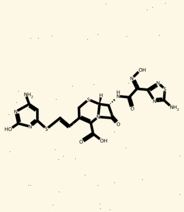 Nc1cc(S/C=C/C2=C(C(=O)O)N3C(=O)[C@@H](NC(=O)C(=NO)c4nsc(N)n4)[C@H]3SC2)nc(O)n1